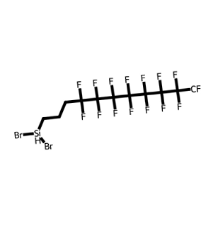 FC(F)(F)C(F)(F)C(F)(F)C(F)(F)C(F)(F)C(F)(F)C(F)(F)C(F)(F)CCC[SiH](Br)Br